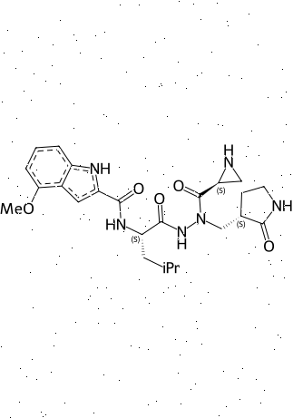 COc1cccc2[nH]c(C(=O)N[C@@H](CC(C)C)C(=O)NN(C[C@@H]3CCNC3=O)C(=O)[C@@H]3CN3)cc12